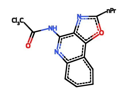 CCCc1nc2c(NC(=O)C(Cl)(Cl)Cl)nc3ccccc3c2o1